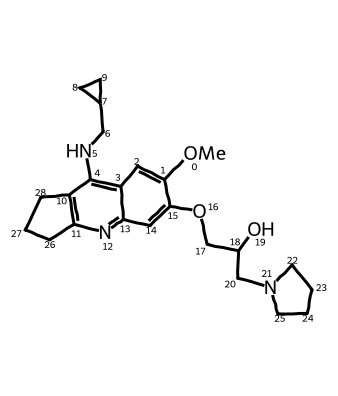 COc1cc2c(NCC3CC3)c3c(nc2cc1OCC(O)CN1CCCC1)CCC3